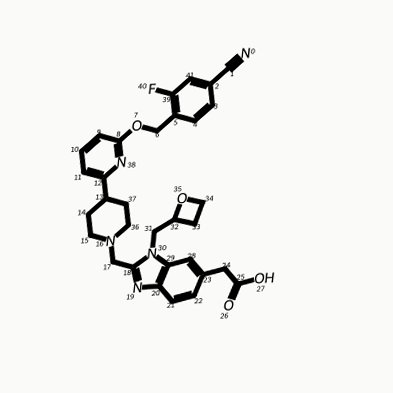 N#Cc1ccc(COc2cccc(C3CCN(Cc4nc5ccc(CC(=O)O)cc5n4CC4CCO4)CC3)n2)c(F)c1